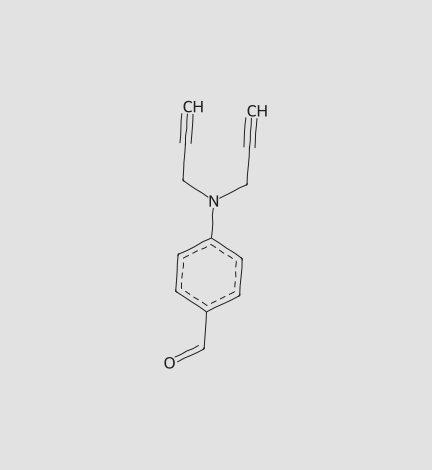 C#CCN(CC#C)c1ccc(C=O)cc1